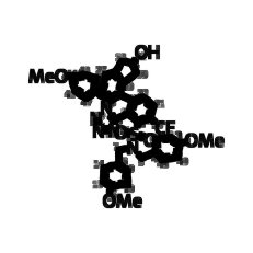 COc1ccc(CN(Cc2ccc(OC)cc2)S(=O)(=O)c2c(C(F)(F)F)ccc(-c3cccc4c3CC(O)C4)c2-c2nnnn2Cc2ccc(OC)cc2)cc1